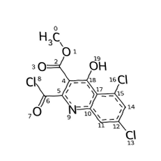 COC(=O)c1c(C(=O)Cl)nc2cc(Cl)cc(Cl)c2c1O